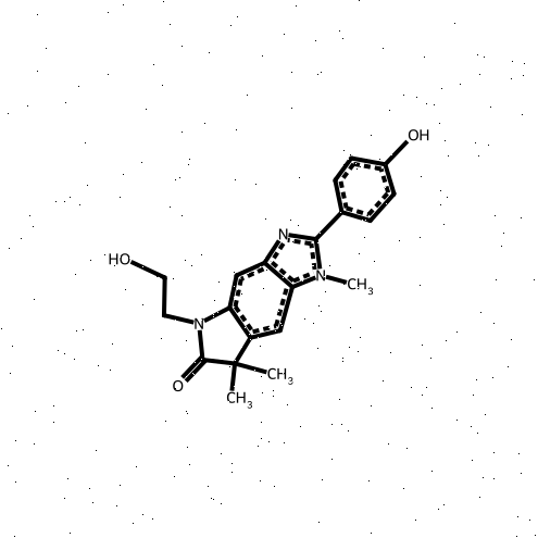 Cn1c(-c2ccc(O)cc2)nc2cc3c(cc21)C(C)(C)C(=O)N3CCO